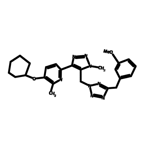 COc1cccc(Cc2nnn(Cc3c(-c4ccc(OC5CCCCC5)c(C)n4)nnn3C)n2)c1